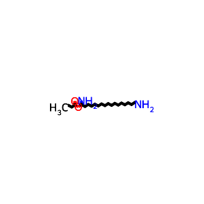 CCCC(=O)OC(N)CCCCCCCCCCCCCCCCN